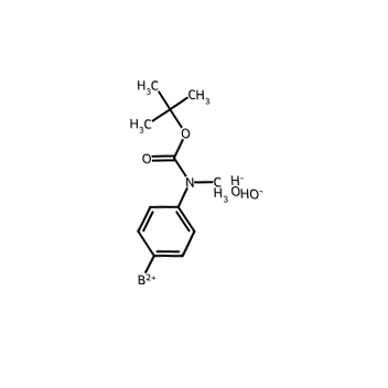 [B+2]c1ccc(N(C)C(=O)OC(C)(C)C)cc1.[OH-].[OH-]